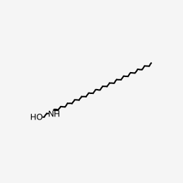 CCCCCCCCCCCCCCCCCCCCCCCCCCCC=CNCCO